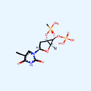 Cc1cn([C@H]2C[C@@]3(OP(C)(=O)O)C(OP(=O)(O)O)[C@H]3O2)c(=O)[nH]c1=O